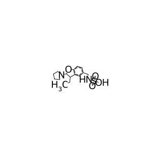 CCC1c2cc(CNS(=O)(=O)O)ccc2OC1N1CCCC1